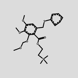 COCOc1c(OC)c(OC)cc(CSc2ccccc2)c1C(=O)OCC[Si](C)(C)C